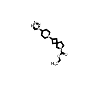 CCOC(=O)N1CCC2(CC(N3CCC(n4cnnn4)CC3)C2)C1